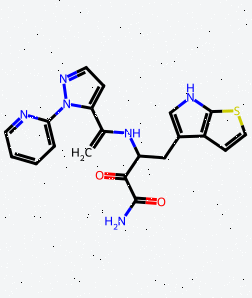 C=C(NC(Cc1c[nH]c2sccc12)C(=O)C(N)=O)c1ccnn1-c1ccccn1